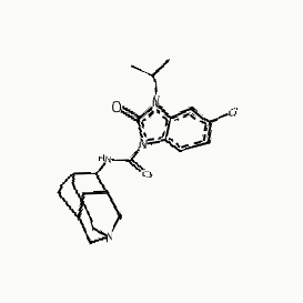 CC(C)n1c(=O)n(C(=O)NC2C3CC4CC2CN(C4)C3)c2ccc(Cl)cc21